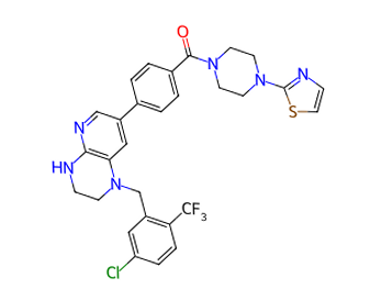 O=C(c1ccc(-c2cnc3c(c2)N(Cc2cc(Cl)ccc2C(F)(F)F)CCN3)cc1)N1CCN(c2nccs2)CC1